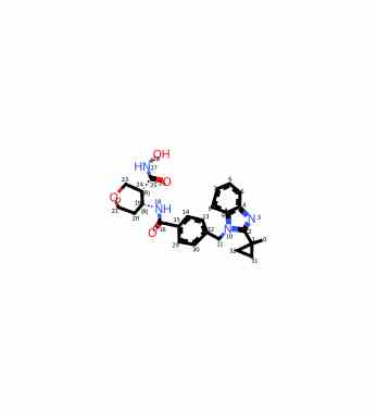 CC1(c2nc3ccccc3n2Cc2ccc(C(=O)N[C@@H]3CCOC[C@@H]3C(=O)NO)cc2)CC1